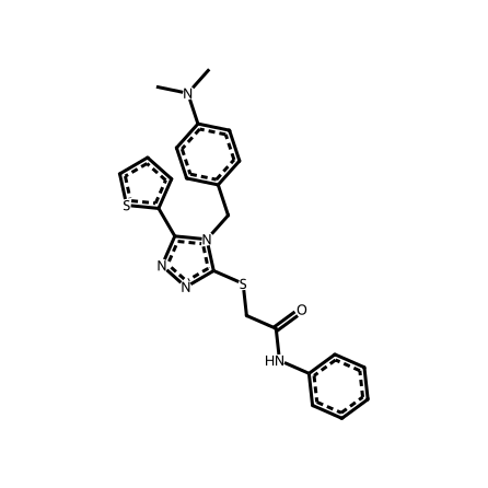 CN(C)c1ccc(Cn2c(SCC(=O)Nc3ccccc3)nnc2-c2cccs2)cc1